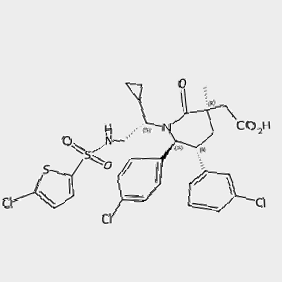 C[C@]1(CC(=O)O)C[C@H](c2cccc(Cl)c2)[C@@H](c2ccc(Cl)cc2)N([C@H](CNS(=O)(=O)c2ccc(Cl)s2)C2CC2)C1=O